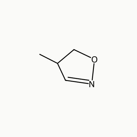 CC1C=NOC1